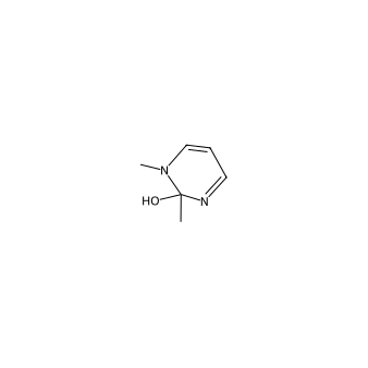 CN1C=CC=NC1(C)O